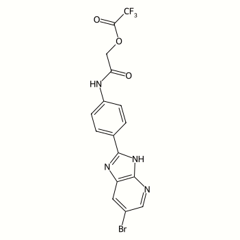 O=C(COC(=O)C(F)(F)F)Nc1ccc(-c2nc3cc(Br)cnc3[nH]2)cc1